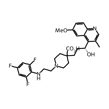 COc1ccc2ncc(C)c([C@H](O)CCC3(C(=O)O)CCN(CCNc4c(F)cc(F)cc4F)CC3)c2c1